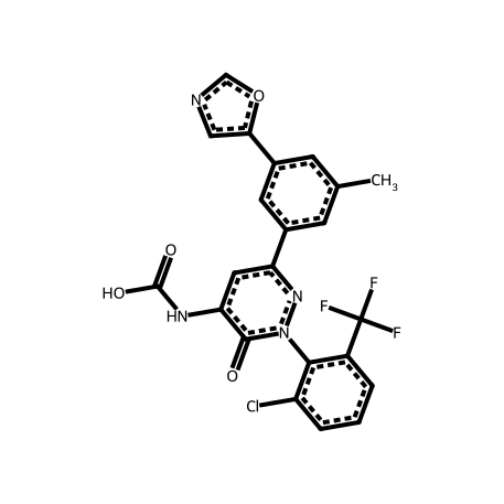 Cc1cc(-c2cc(NC(=O)O)c(=O)n(-c3c(Cl)cccc3C(F)(F)F)n2)cc(-c2cnco2)c1